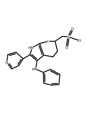 CCS(=O)(=O)CC1CCc2c([nH]c(-c3ccncc3)c2Nc2ccccc2)C1